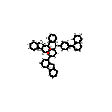 c1ccc2c(c1)Cc1c(-c3ccc(N(c4ccc(-c5cccc6ccccc56)cc4)c4ccccc4-c4cccc5c4oc4ccccc45)cc3)cccc1-2